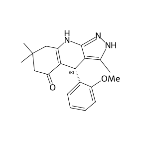 COc1ccccc1[C@@H]1C2=C(CC(C)(C)CC2=O)Nc2n[nH]c(C)c21